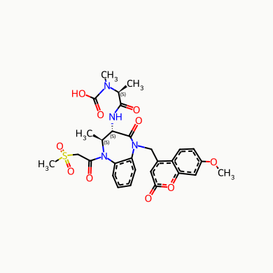 COc1ccc2c(CN3C(=O)[C@@H](NC(=O)[C@H](C)N(C)C(=O)O)[C@H](C)N(C(=O)CS(C)(=O)=O)c4ccccc43)cc(=O)oc2c1